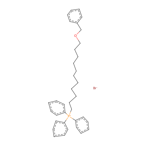 [Br-].c1ccc(COCCCCCCCCCCC[P+](c2ccccc2)(c2ccccc2)c2ccccc2)cc1